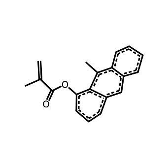 C=C(C)C(=O)Oc1cccc2cc3ccccc3c(C)c12